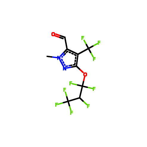 Cn1nc(OC(F)(F)C(F)C(F)(F)F)c(C(F)(F)F)c1C=O